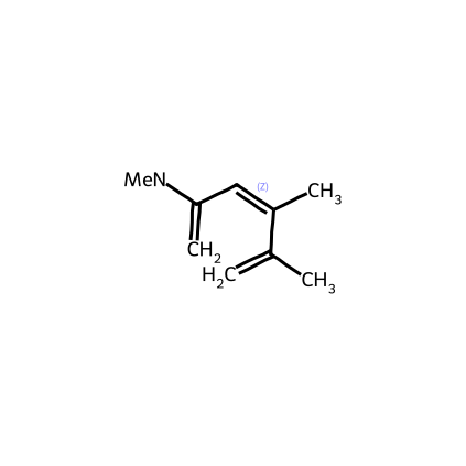 C=C(/C=C(/C)C(=C)C)NC